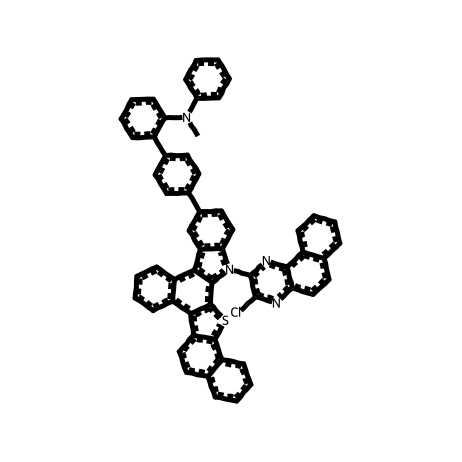 CN(c1ccccc1)c1ccccc1-c1ccc(-c2ccc3c(c2)c2c4ccccc4c4c5ccc6ccccc6c5sc4c2n3-c2nc3c(ccc4ccccc43)nc2Cl)cc1